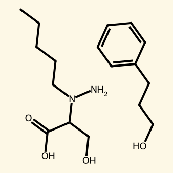 CCCCCN(N)C(CO)C(=O)O.OCCCc1ccccc1